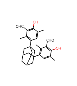 Cc1cc(C23CC4CC(C2)CC(c2cc(C)c(O)c(C=O)c2C)(C4)C3)c(C)c(C=O)c1O